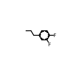 CCCc1ccc(F)c(F)c1